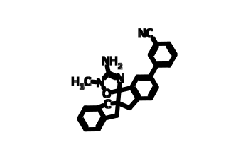 CN1OC2(N=C1N)c1cc(-c3cccc(C#N)c3)ccc1CC21Cc2ccccc2C1